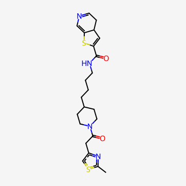 Cc1nc(CC(=O)N2CCC(CCCCNC(=O)C3=CC4CC=NC=C4S3)CC2)cs1